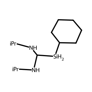 CC(C)NC(NC(C)C)[SiH2]C1CCCCC1